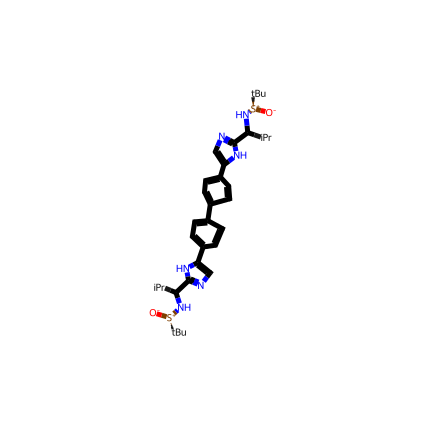 CC(C)C(N[S@@+]([O-])C(C)(C)C)c1ncc(-c2ccc(-c3ccc(-c4cnc(C(N[S@+]([O-])C(C)(C)C)C(C)C)[nH]4)cc3)cc2)[nH]1